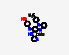 COc1ncccc1Nc1cc2nc3ccccc3n(-c3ccc(C)cc3)c-2c/c1=N\C1CCC(O)CC1